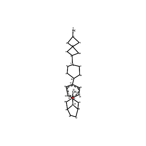 CC(=O)C1CC2(C1)CC(N1CCC(c3cnc(N4C5CCC4CN(C)C5)nc3)CC1)C2